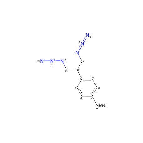 CNc1ccc(C(CN=[N+]=[N-])CN=[N+]=[N-])cc1